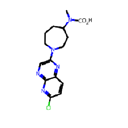 CN(C(=O)O)C1CCCN(c2cnc3nc(Cl)ccc3n2)CC1